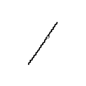 CCCCCCCCCCCCCCCCCCCCCCOCCCCCCCCCCC